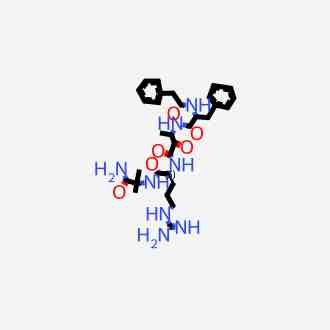 CC(NC(=O)C(Cc1ccccc1)NC(=O)Cc1ccccc1)C(=O)C(=O)N[C@@H](CCCNC(=N)N)C(=O)NC(C)(C)C(N)=O